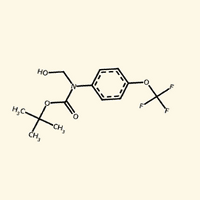 CC(C)(C)OC(=O)N(CO)c1ccc(OC(F)(F)F)cc1